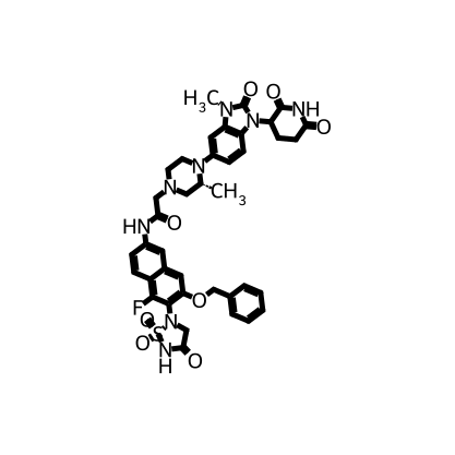 C[C@@H]1CN(CC(=O)Nc2ccc3c(F)c(N4CC(=O)NS4(=O)=O)c(OCc4ccccc4)cc3c2)CCN1c1ccc2c(c1)n(C)c(=O)n2C1CCC(=O)NC1=O